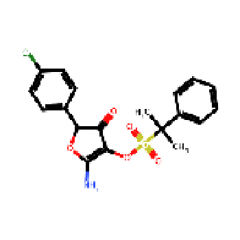 CC(C)(c1ccccc1)S(=O)(=O)OC1=C(N)OC(c2ccc(Cl)cc2)C1=O